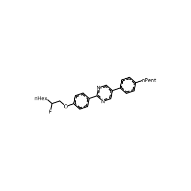 CCCCCCC(F)COc1ccc(-c2ncc(-c3ccc(CCCCC)cc3)cn2)cc1